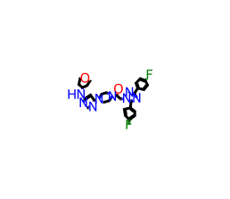 O=C(Cn1nc(-c2ccc(F)cc2)nc1-c1ccc(F)cc1)N1CCN(c2cc(NC3CCOCC3)ncn2)CC1